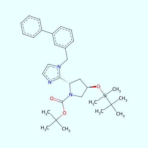 CC(C)(C)OC(=O)N1C[C@H](O[Si](C)(C)C(C)(C)C)C[C@H]1c1nccn1Cc1cccc(-c2ccccc2)c1